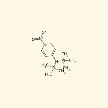 C[Si](C)(C)N(c1ccc([N+](=O)[O-])cc1)[Si](C)(C)C